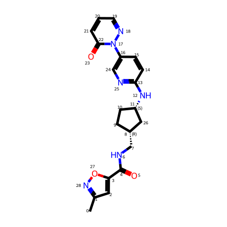 Cc1cc(C(=O)NC[C@@H]2CC[C@H](Nc3ccc(-n4ncccc4=O)cn3)C2)on1